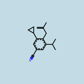 C=C(C)Cc1c(C(C)C)cc(C#N)cc1C1CC1